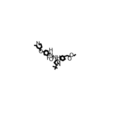 CCOC(=O)Cc1ccc(-n2nc(C(C)(C)C)cc2NC(=O)Nc2ccc(Oc3ccnc(C)c3)cc2F)cc1